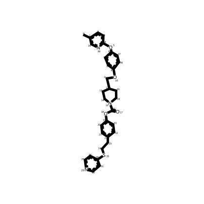 Cc1ccc(Oc2ccc(OCC3CCN(C(=O)Oc4ccc(CCSc5ccncc5)cc4)CC3)cc2)nc1